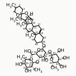 CC1CC[C@@]2(OC1)O[C@H]1CC3C4CC=C5C[C@@H](O[C@@H]6O[C@H](CO)[C@@H](O[C@@H]7O[C@@H](C)[C@H](O)[C@@H](O)[C@H]7C)[C@H](O)[C@H]6O[C@@H]6O[C@@H](C)[C@H](O)[C@@H](O)[C@H]6O)CC[C@]5(C)C4CC[C@]3(C)[C@H]1[C@@H]2C